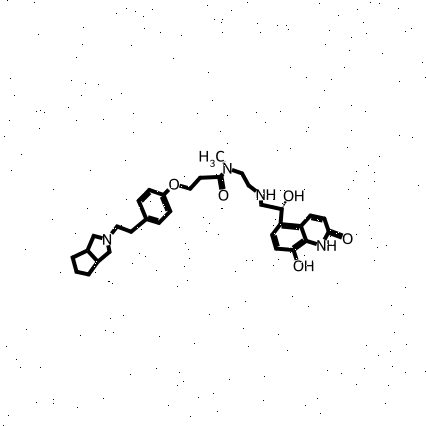 CN(CCNC[C@H](O)c1ccc(O)c2[nH]c(=O)ccc12)C(=O)CCOc1ccc(CCN2CC3CCCC3C2)cc1